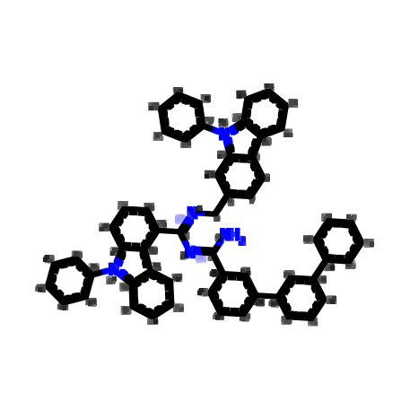 N/C(=N\C(=N/Cc1ccc2c3ccccc3n(-c3ccccc3)c2c1)c1cccc2c1c1ccccc1n2-c1ccccc1)c1cccc(-c2cccc(-c3ccccc3)c2)c1